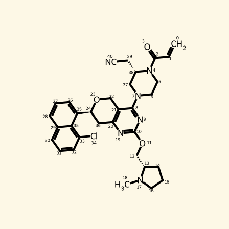 C=CC(=O)N1CCN(c2nc(OC[C@@H]3CCCN3C)nc3c2CO[C@H](c2cccc4cccc(Cl)c24)C3)C[C@@H]1CC#N